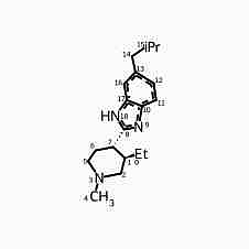 CC[C@H]1CN(C)CC[C@@H]1c1nc2ccc(CC(C)C)cc2[nH]1